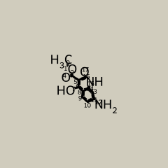 CCOC(=O)c1c(O)c2ccc(N)cc2[nH]c1=O